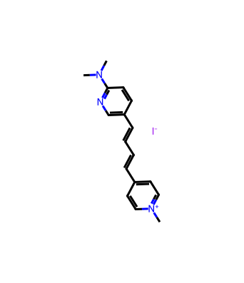 CN(C)c1ccc(/C=C/C=C/c2cc[n+](C)cc2)cn1.[I-]